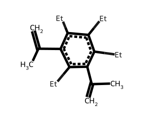 C=C(C)c1c(CC)c(CC)c(CC)c(C(=C)C)c1CC